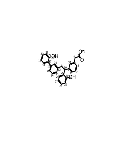 COC(=O)Cc1cccc(C(Cc2cccc(-c3ccccc3O)c2)c2ccccc2O)c1